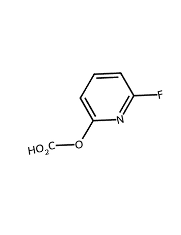 O=C(O)Oc1cccc(F)n1